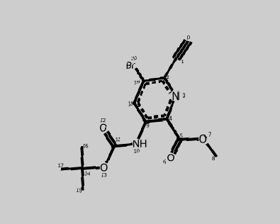 C#Cc1nc(C(=O)OC)c(NC(=O)OC(C)(C)C)cc1Br